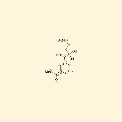 CCC(O)(CCNC(C)=O)C(O)c1cccc(C(=O)OC)c1